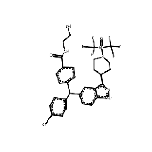 O=C(NCCO)c1ccc(C(c2ccc(Cl)cc2)c2ccc3[nH]nc(C4CCN([SH](=O)(C(F)(F)F)C(F)(F)F)CC4)c3c2)cc1